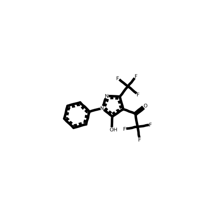 O=C(c1c(C(F)(F)F)nn(-c2ccccc2)c1O)C(F)(F)F